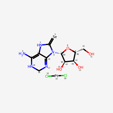 NC1=c2[nH]c(=[Se])n([C@@H]3O[C@H](CO)[C@@H](O)[C@H]3O)c2=NCN1.[Cl][Pt][Cl]